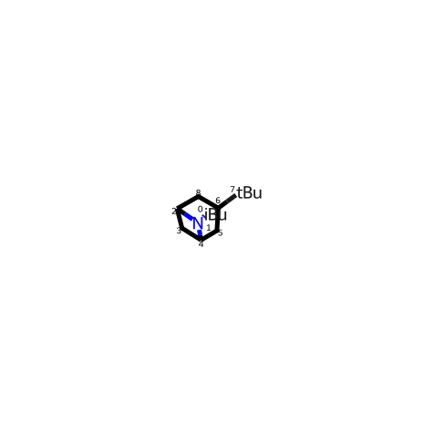 CCC(C)N1C2CC1CC(C(C)(C)C)C2